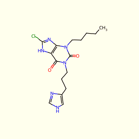 CCCCCn1c(=O)n(CCCc2c[nH]cn2)c(=O)c2[nH]c(Cl)nc21